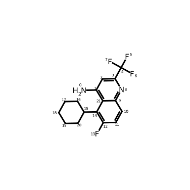 Nc1cc(C(F)(F)F)nc2ccc(F)c(C3CCCCC3)c12